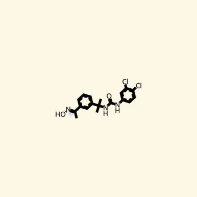 C/C(=N\O)c1cccc(C(C)(C)NC(=O)Nc2ccc(Cl)c(Cl)c2)c1